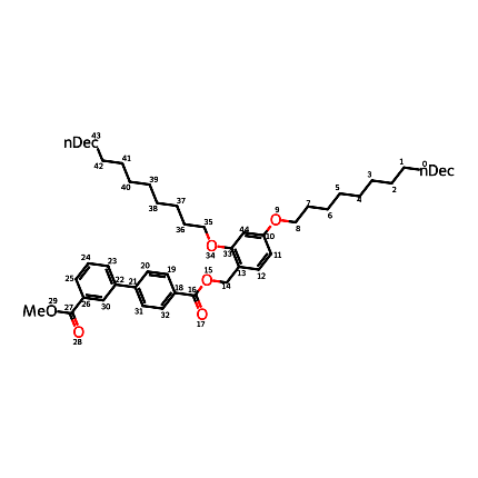 CCCCCCCCCCCCCCCCCCOc1ccc(COC(=O)c2ccc(-c3cccc(C(=O)OC)c3)cc2)c(OCCCCCCCCCCCCCCCCCC)c1